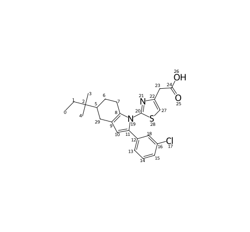 CCC(C)(C)C1CCc2c(cc(-c3cccc(Cl)c3)n2-c2nc(CC(=O)O)cs2)C1